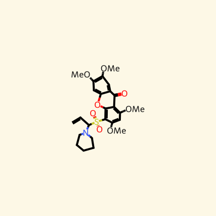 C=CC(N1CCCCC1)S(=O)(=O)c1c(OC)cc(OC)c2c(=O)c3cc(OC)c(OC)cc3oc12